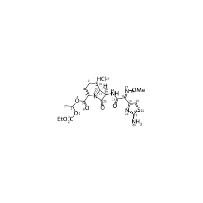 CCOC(=O)OC(C)OC(=O)C1=CCS[C@H]2C(NC(=O)C(=NOC)c3csc(N)n3)C(=O)N12.Cl